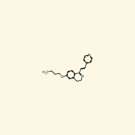 CCCCOc1ccc2c(c1)CCN=C2C=Cc1ccncc1